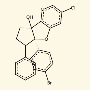 OC12CCC(c3ccccc3)[C@]1(c1ccc(Br)cc1)Oc1cc(Cl)cnc12